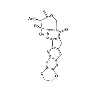 C=C1OCc2c(cc3n(c2=O)Cc2cc4cc5c(cc4nc2-3)OCCO5)[C@@](O)(CC)[C@H]1OC(C)=O